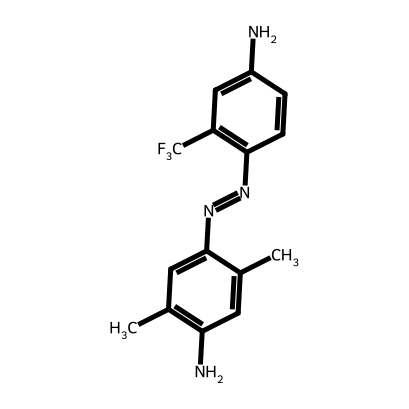 Cc1cc(N=Nc2ccc(N)cc2C(F)(F)F)c(C)cc1N